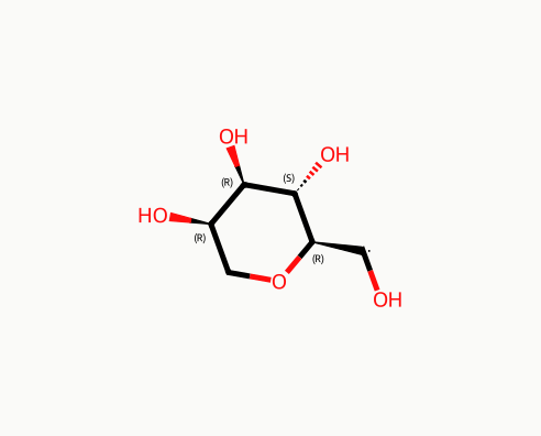 O[CH][C@H]1OC[C@@H](O)[C@@H](O)[C@@H]1O